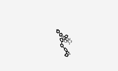 CC1(C)c2ccccc2N(c2ccc(-c3ccccc3)cc2)c2ccc(-c3cccc(-c4ccc5sc6ccccc6c5c4)c3)cc21